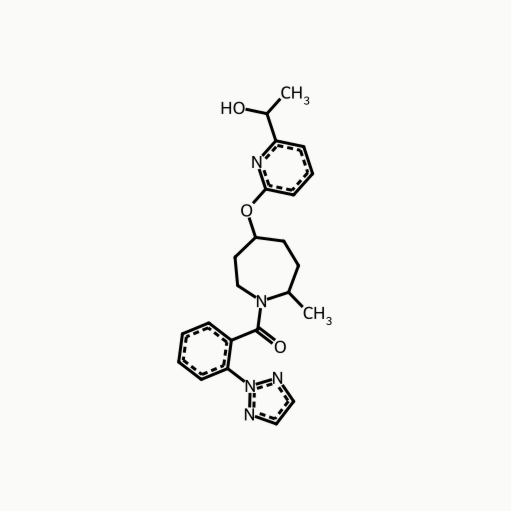 CC(O)c1cccc(OC2CCC(C)N(C(=O)c3ccccc3-n3nccn3)CC2)n1